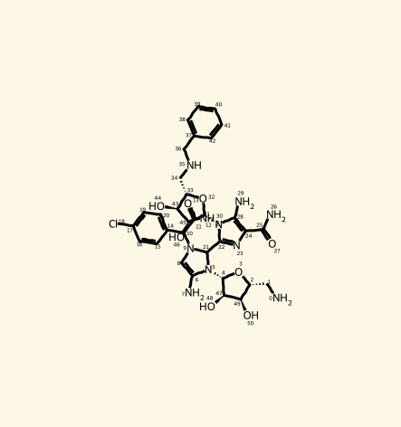 NC[C@H]1O[C@@H](N2C(N)=CN(C(C(N)=O)c3ccc(Cl)cc3)C2c2nc(C(N)=O)c(N)n2[C@H]2O[C@@H](CNCc3ccccc3)[C@H](O)[C@@H]2O)[C@H](O)[C@@H]1O